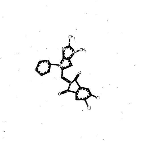 Cc1nc2c(cc(C=C3C(=O)c4cc(Cl)c(Cl)cc4C3=O)n2-c2ccccc2)n1C